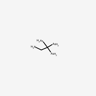 NCC([AsH2])([AsH2])[AsH2]